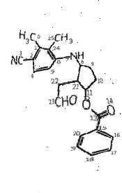 Cc1c(C#N)ccc(NC2CCC(OC(=O)c3ccccc3)C2CC=O)c1C